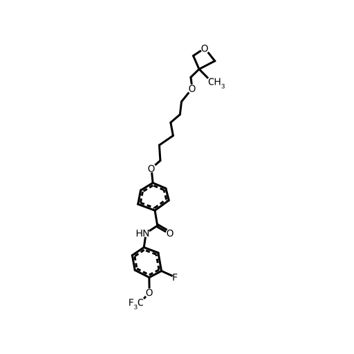 CC1(COCCCCCCOc2ccc(C(=O)Nc3ccc(OC(F)(F)F)c(F)c3)cc2)COC1